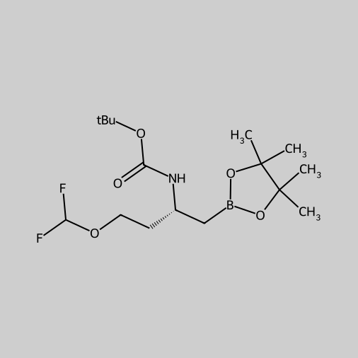 CC(C)(C)OC(=O)N[C@@H](CCOC(F)F)CB1OC(C)(C)C(C)(C)O1